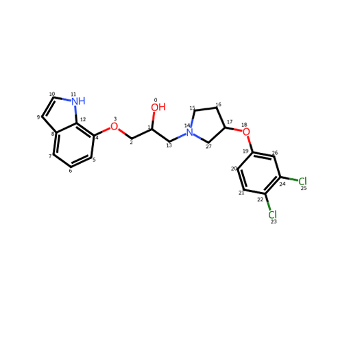 OC(COc1cccc2cc[nH]c12)CN1CCC(Oc2ccc(Cl)c(Cl)c2)C1